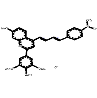 COc1ccc2c(/C=C/C=C/c3ccc(N(C)C)cc3)cc(-c3cc(OC)c(OC)c(OC)c3)[o+]c2c1.[Cl-]